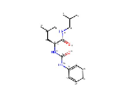 CC(C)CNC(=O)[C@H](CC(C)C)NC(=O)Nc1ccccc1